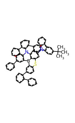 CC(C)(C)c1ccc2c(c1)c1ccccc1n2-c1cc2c3c(c1)N(c1c(-c4ccccc4)cccc1-c1ccccc1)c1ccc(-c4ccccc4)cc1B3c1cc(-c3ccccc3-c3ccccc3)ccc1S2